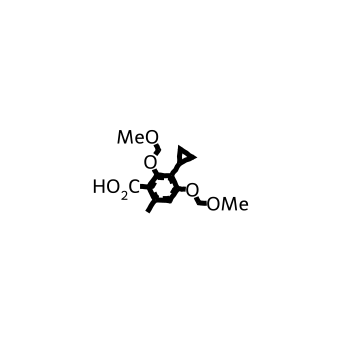 COCOc1cc(C)c(C(=O)O)c(OCOC)c1C1CC1